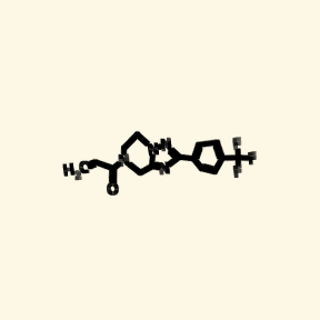 C=CC(=O)N1CCn2nc(-c3ccc(C(F)(F)F)cc3)nc2C1